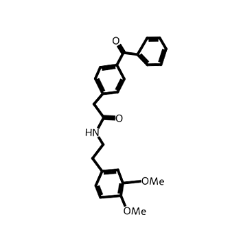 COc1ccc(CCNC(=O)Cc2ccc(C(=O)c3ccccc3)cc2)cc1OC